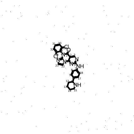 O=c1c2cnc(Nc3ccc(C4CCCCN4)cc3)nc2n2ccnc2n1-c1c(Cl)cccc1Cl